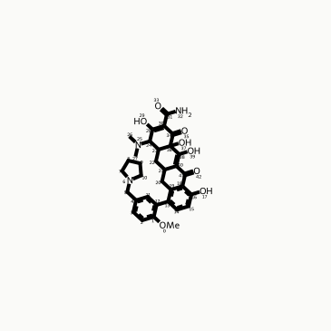 COc1ccc(CN2CCCC2)cc1-c1ccc(O)c2c1CC1CC3C(N(C)C)C(O)=C(C(N)=O)C(=O)C3(O)C(O)=C1C2=O